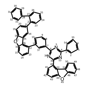 c1ccc(-c2nc(-c3cccc(-c4cccc5oc6ccc(-c7ccccc7-c7ccccc7)cc6c45)c3)nc(-c3cccc4oc5ccccc5c34)n2)cc1